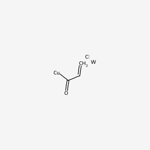 C=C[C](=O)[Cu].[C].[W]